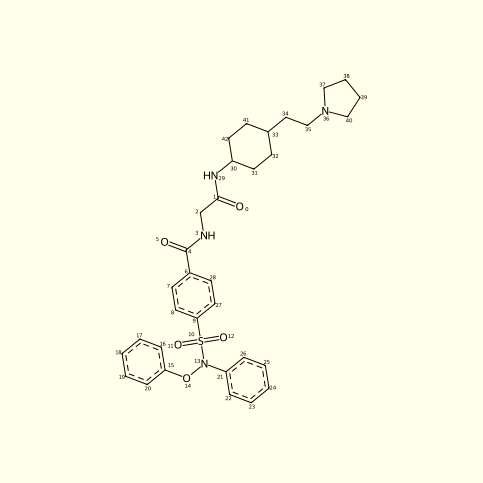 O=C(CNC(=O)c1ccc(S(=O)(=O)N(Oc2ccccc2)c2ccccc2)cc1)NC1CCC(CCN2CCCC2)CC1